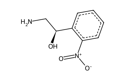 NC[C@H](O)c1ccccc1[N+](=O)[O-]